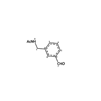 CC(=O)NCc1cccc(C=O)c1